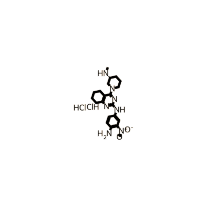 CN[C@@H]1CCCN(c2nc(Nc3ccc(N)c([N+](=O)[O-])c3)nc3c2CCCC3)C1.Cl.Cl